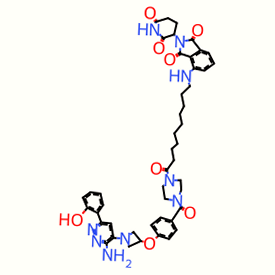 Nc1nnc(-c2ccccc2O)cc1N1CC(Oc2ccc(C(=O)N3CCN(C(=O)CCCCCCCCCNc4cccc5c4C(=O)N(C4CCC(=O)NC4=O)C5=O)CC3)cc2)C1